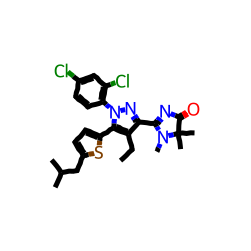 CCc1c(C2=NC(=O)C(C)(C)N2C)nn(-c2ccc(Cl)cc2Cl)c1-c1ccc(CC(C)C)s1